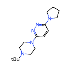 CC(C)(C)N1CCN(c2ccc(N3CCCC3)nn2)CC1